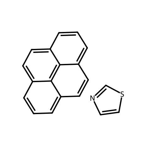 c1cc2ccc3cccc4ccc(c1)c2c34.c1cscn1